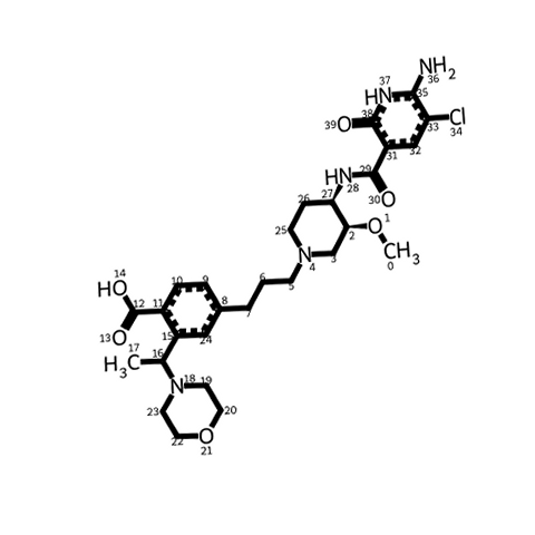 CO[C@H]1CN(CCCc2ccc(C(=O)O)c(C(C)N3CCOCC3)c2)CC[C@H]1NC(=O)c1cc(Cl)c(N)[nH]c1=O